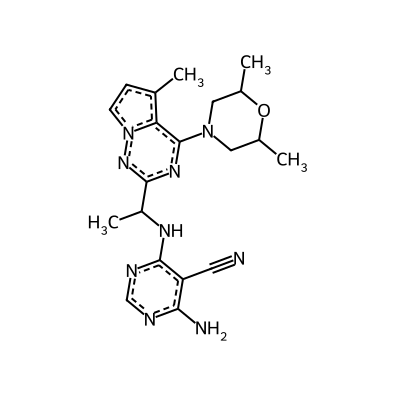 Cc1ccn2nc(C(C)Nc3ncnc(N)c3C#N)nc(N3CC(C)OC(C)C3)c12